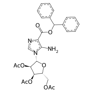 CC(=O)OC[C@H]1O[C@@H](n2cnc(C(=O)OC(c3ccccc3)c3ccccc3)c2N)[C@H](OC(C)=O)[C@@H]1OC(C)=O